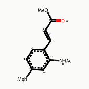 CNc1ccc(/C=C/C(=O)OC)c(NC(C)=O)c1